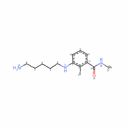 Cc1c(NCCCCCN)cccc1C(=O)NC(C)C